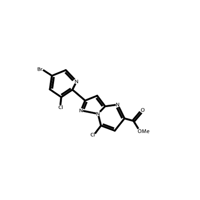 COC(=O)c1cc(Cl)n2nc(-c3ncc(Br)cc3Cl)cc2n1